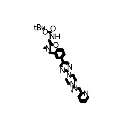 CN(Cc1cccc(-c2cnc(N3CCN(N(C)Cc4ccccn4)CC3)nc2)c1)C(=O)CNC(=O)OC(C)(C)C